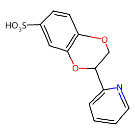 O=S(=O)(O)c1ccc2c(c1)OC(c1ccccn1)CO2